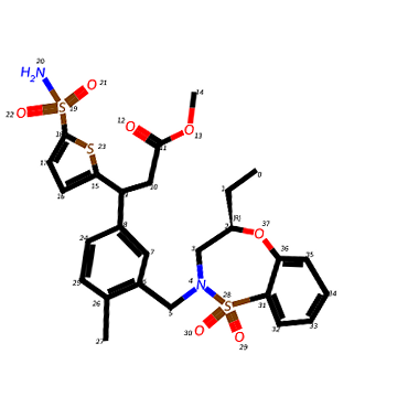 CC[C@@H]1CN(Cc2cc(C(CC(=O)OC)c3ccc(S(N)(=O)=O)s3)ccc2C)S(=O)(=O)c2ccccc2O1